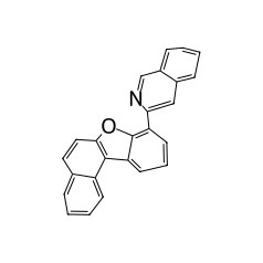 c1ccc2cc(-c3cccc4c3oc3ccc5ccccc5c34)ncc2c1